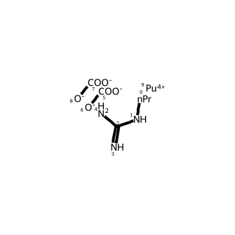 CCCNC(=N)N.O=C([O-])[O-].O=C([O-])[O-].[Pu+4]